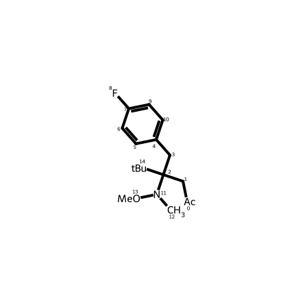 [CH2]C(=O)CC(Cc1ccc(F)cc1)(N(C)OC)C(C)(C)C